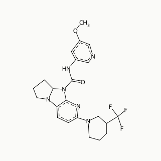 COc1cncc(NC(=O)N2c3nc(N4CCCC(C(F)(F)F)C4)ccc3N3CCCC32)c1